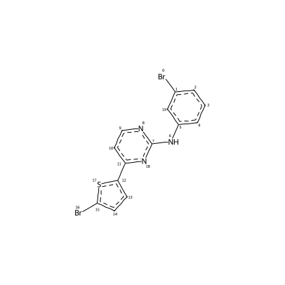 Brc1cccc(Nc2nccc(-c3ccc(Br)s3)n2)c1